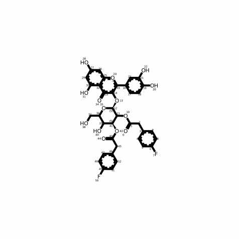 O=C(Cc1ccc(F)cc1)OC1[C@H](Oc2c(-c3ccc(O)c(O)c3)oc3cc(O)cc(O)c3c2=O)OC(CO)C(O)[C@@H]1OC(=O)Cc1ccc(F)cc1